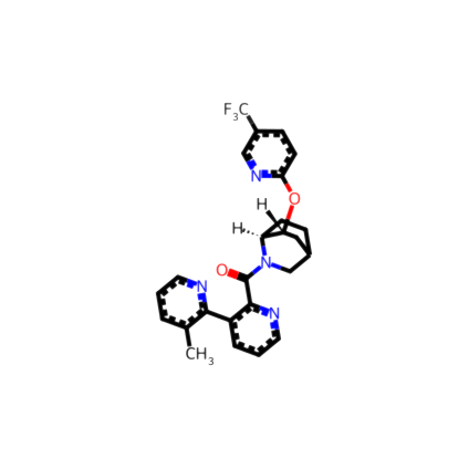 Cc1cccnc1-c1cccnc1C(=O)N1CC2CC[C@H]1[C@H](Oc1ccc(C(F)(F)F)cn1)C2